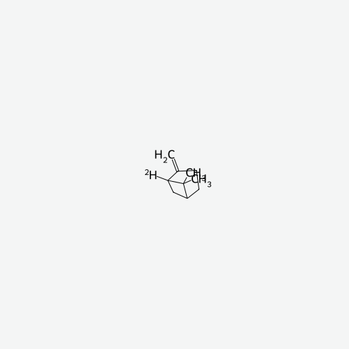 [2H]C12CC(CCC1=C)C2(C)C